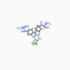 Cl.Cl.N=C(N)Nc1ccc(N(c2ccc(NC(=N)N)cc2)C2CCCCC2)cc1